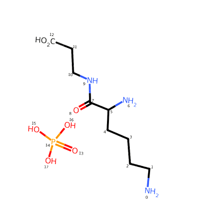 NCCCCC(N)C(=O)NCCC(=O)O.O=P(O)(O)O